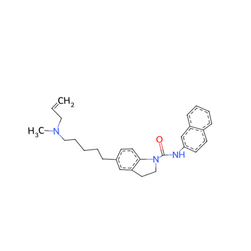 C=CCN(C)CCCCCc1ccc2c(c1)CCN2C(=O)Nc1ccc2ccccc2c1